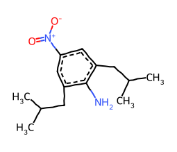 CC(C)Cc1cc([N+](=O)[O-])cc(CC(C)C)c1N